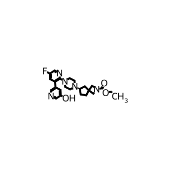 CCOC(=O)N1CC2(CC[C@@H](N3CCN(c4ncc(F)cc4-c4cncc(O)c4)CC3)C2)C1